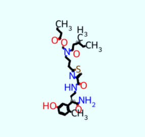 CCCC(=O)OCN(CCCc1nc(C(=O)NCC[C@@H](C(N)=O)c2cc(O)ccc2C)cs1)C(=O)C[C@@H](C)CC